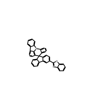 c1ccc2c(c1)-c1cc(-c3nc4ccccc4o3)ccc1C21c2ccccc2-n2c3ccccc3c3cccc1c32